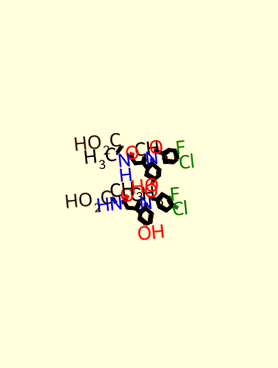 Cc1c(CC(=O)NC(C)C(=O)O)c2cc(O)ccc2n1C(=O)c1ccc(Cl)c(F)c1.Cc1c(CC(=O)NC(C)CC(=O)O)c2cc(O)ccc2n1C(=O)c1ccc(Cl)c(F)c1